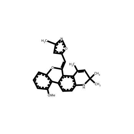 COc1cccc2c1-c1ccc3c(c1C(=Cc1cc(C)no1)O2)C(C)=CC(C)(C)N3